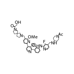 COc1nc(-c2ccnc(-c3cccc(Nc4nccc(CNC5CCN(C(C)=O)CC5)c4F)c3Cl)c2Cl)ccc1CN1CCC2(CCN(C(=O)CO)C2)C1